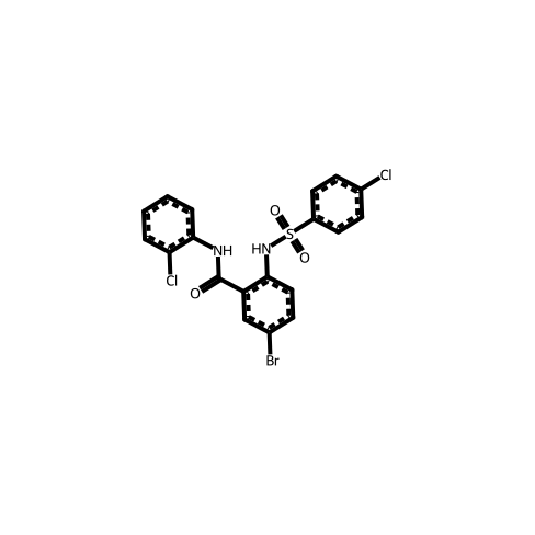 O=C(Nc1ccccc1Cl)c1cc(Br)ccc1NS(=O)(=O)c1ccc(Cl)cc1